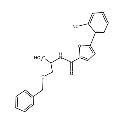 N#Cc1ccccc1-c1ccc(C(=O)NC(COCc2ccccc2)C(=O)O)o1